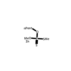 CCCCCOP(=S)(OC)SC.[Zn]